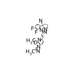 COc1nc(/C=C/c2nc3n(n2)CCCC3(C#N)c2ccc(F)c(F)c2)ccc1-n1cnc(C)c1